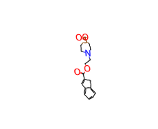 O=C(OCCN1CCS(=O)(=O)CC1)C1=Cc2ccccc2C1